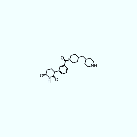 O=C1CCC(c2cccc(C(=O)N3CCC(CC4CCNCC4)CC3)c2)C(=O)N1